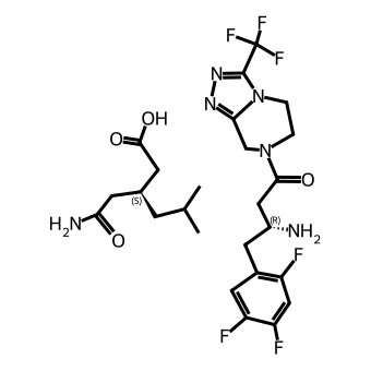 CC(C)C[C@@H](CC(N)=O)CC(=O)O.N[C@@H](CC(=O)N1CCn2c(nnc2C(F)(F)F)C1)Cc1cc(F)c(F)cc1F